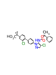 C[C@@H](OC(=O)Nc1c(Cl)cnn1-c1ccc(-c2ccc(C3(C(=O)O)CC3)cc2Cl)cc1)c1ccccc1